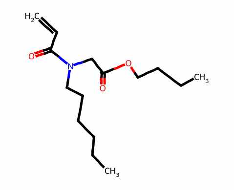 C=CC(=O)N(CCCCCC)CC(=O)OCCCC